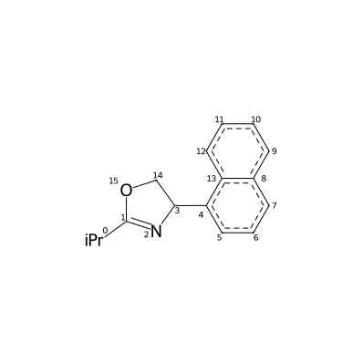 CC(C)C1=NC(c2cccc3ccccc23)CO1